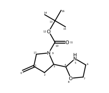 C=C1CC(C2NCCO2)N(C(=O)OC(C)(C)C)C1